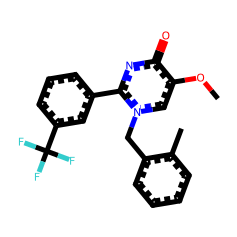 COc1cn(Cc2ccccc2C)c(-c2cccc(C(F)(F)F)c2)nc1=O